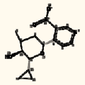 CC1C[C@H](c2ccncc2[N+](=O)[O-])O[C@H](C2CC2)[C@H]1O